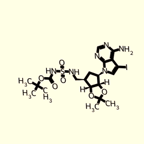 CC(C)(C)OC(=O)NS(=O)(=O)NC[C@H]1C[C@@H](n2cc(I)c3c(N)ncnc32)[C@@H]2OC(C)(C)O[C@H]12